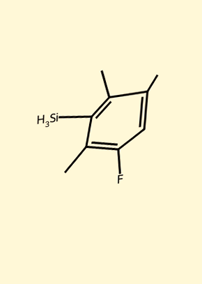 Cc1cc(F)c(C)c([SiH3])c1C